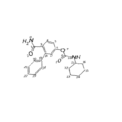 NC(=O)c1ccc(OC(=O)NC2CCCCC2)cc1-c1ccccc1